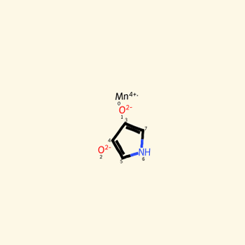 [Mn+4].[O-2].[O-2].c1cc[nH]c1